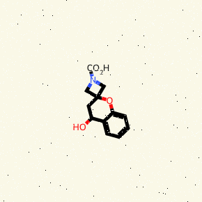 O=C(O)N1CC2(CC(O)c3ccccc3O2)C1